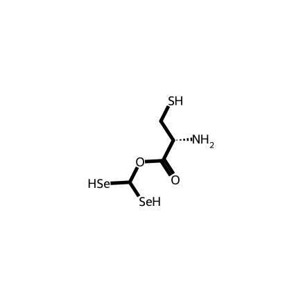 N[C@@H](CS)C(=O)OC([SeH])[SeH]